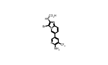 Nc1ncc(-c2ccc3nc(NC(=O)O)c(Br)n3c2)cc1C(F)(F)F